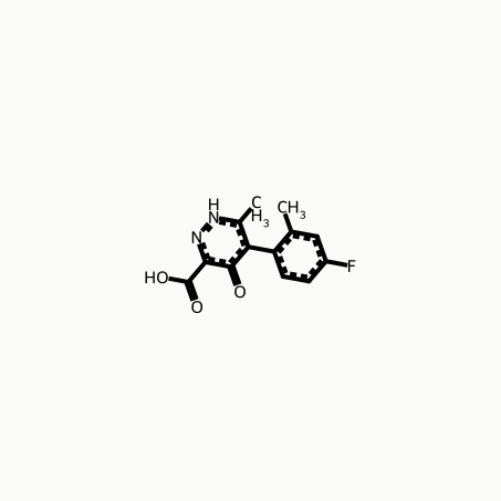 Cc1cc(F)ccc1-c1c(C)[nH]nc(C(=O)O)c1=O